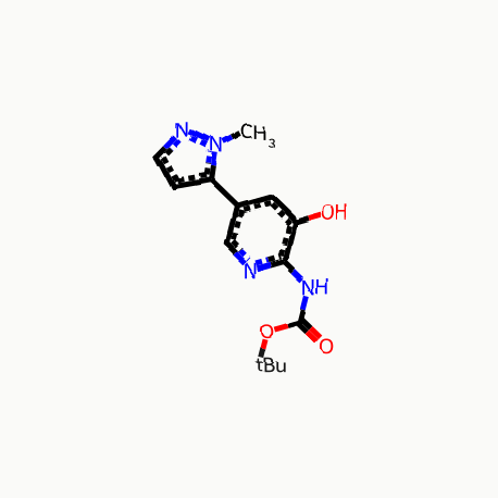 Cn1nccc1-c1cnc(NC(=O)OC(C)(C)C)c(O)c1